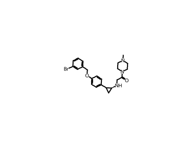 CN1CCN(C(=O)CN[C@H]2CC2c2ccc(OCc3cccc(Br)c3)cc2)CC1